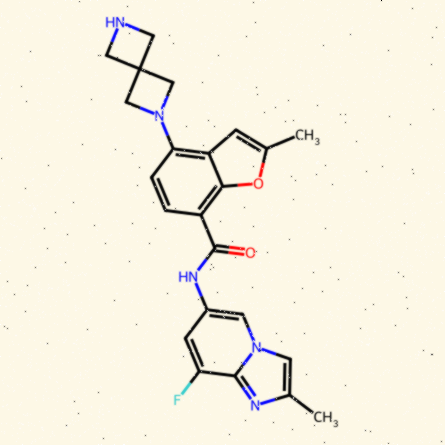 Cc1cn2cc(NC(=O)c3ccc(N4CC5(CNC5)C4)c4cc(C)oc34)cc(F)c2n1